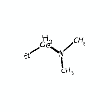 C[CH2][GeH2][N](C)C